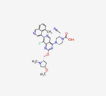 CO[C@@H]1C[C@@H](COc2nc(N3CCN(C(=O)O)[C@@H](CC#N)C3)c3cnc(-c4cncc5cccc(C)c45)c(F)c3n2)N(C)C1